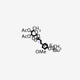 COc1cc(/C=C/C(=O)O[C@H]2OC(C)[C@H](OC(C)=O)C(OC(C)=O)[C@@H]2OC(C)=O)ccc1O[Si](C)(C)C(C)(C)C